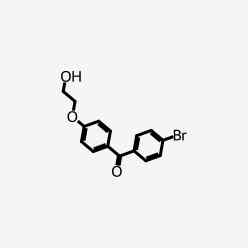 O=C(c1ccc(Br)cc1)c1ccc(OCCO)cc1